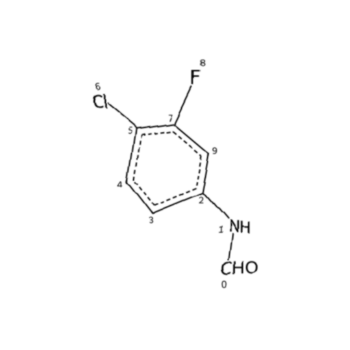 O=CNc1ccc(Cl)c(F)c1